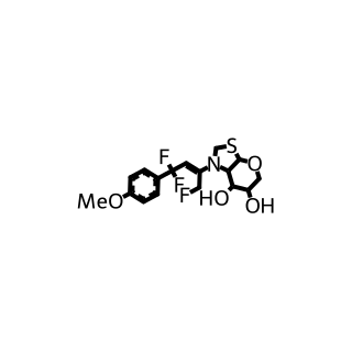 COc1ccc(C(F)(F)C=C(CF)N2CSC3OCC(O)C(O)C32)cc1